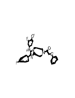 O=C(COc1ccccc1)N1CCn2c(nc(-c3ccc(F)cc3)c2Nc2ccc(Cl)c(F)c2)C1